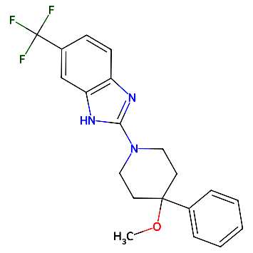 COC1(c2ccccc2)CCN(c2nc3ccc(C(F)(F)F)cc3[nH]2)CC1